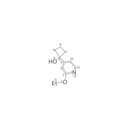 CCOc1cc(C2(O)CCC2)ccn1